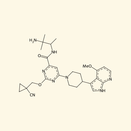 COc1ccnc2[nH]cc(C3CCN(c4cc(C(=O)NC(C)C(C)(C)N)nc(OCC5(C#N)CC5)n4)CC3)c12